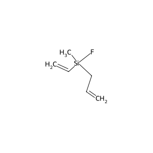 C=CC[Si](C)(F)C=C